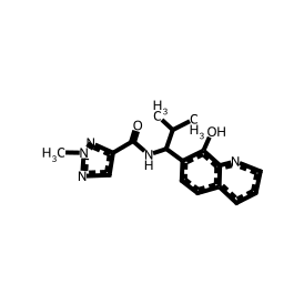 CC(C)C(NC(=O)c1cnn(C)n1)c1ccc2cccnc2c1O